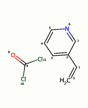 C=Cc1cccnc1.O=C(Cl)Cl